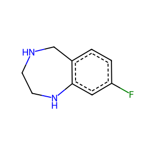 Fc1ccc2c(c1)NCCNC2